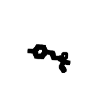 C=CC1(C)OC1C=Cc1ccc(C)cc1